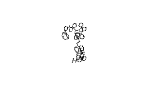 CC(OC(=O)C1C2OC3C(OC(=O)C31)C2OC(=O)CCC(=O)OC(C)C(F)(F)S(=O)(=O)O)OC1C2CC3CC(C2)CC1C3